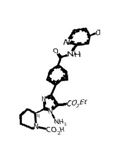 CCOC(=O)c1c(-c2ccc(C(=O)Nc3cc(Cl)ccn3)cc2)nc([C@@H]2CCCCN2C(=O)O)n1N